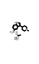 CCO.CN1CCC(c2c[nH]c3ccc(N)cc23)CC1.Cl.Cl